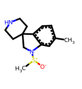 Cc1ccc2c(c1)N([S+](C)[O-])CC21CCNCC1